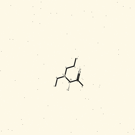 CCCN(CC)[C@@H](C)C(C)=O